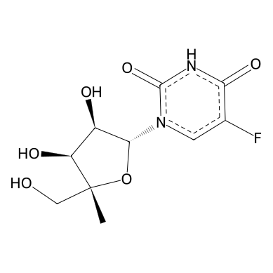 C[C@]1(CO)O[C@@H](n2cc(F)c(=O)[nH]c2=O)[C@H](O)[C@@H]1O